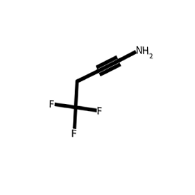 NC#CCC(F)(F)F